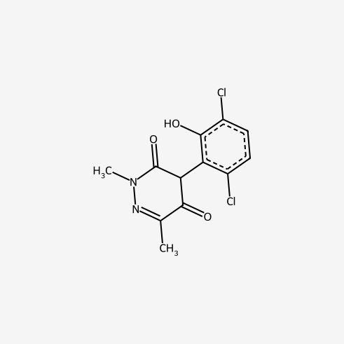 CC1=NN(C)C(=O)C(c2c(Cl)ccc(Cl)c2O)C1=O